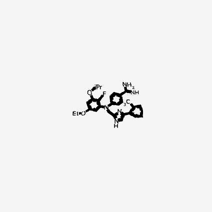 CCOc1cc(OC(C)C)c(F)c(N(Cc2nc(-c3ccccc3C(F)(F)F)c[nH]2)c2ccc(C(=N)N)cc2)c1